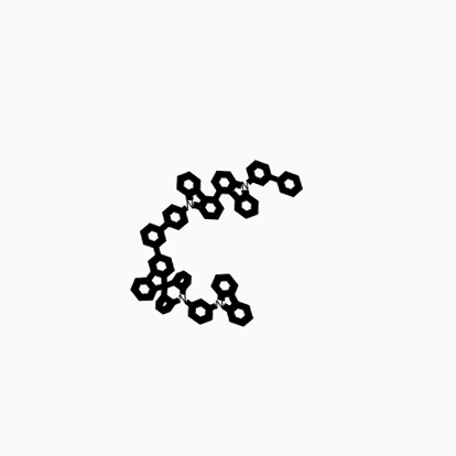 c1ccc(-c2cccc(-n3c4ccccc4c4c(-c5cccc6c5c5ccccc5n6-c5ccc(-c6cccc(-c7ccc8c(c7)-c7ccccc7C87c8ccccc8N(c8cccc(-n9c%10ccccc%10c%10ccccc%109)c8)c8ccccc87)c6)cc5)cccc43)c2)cc1